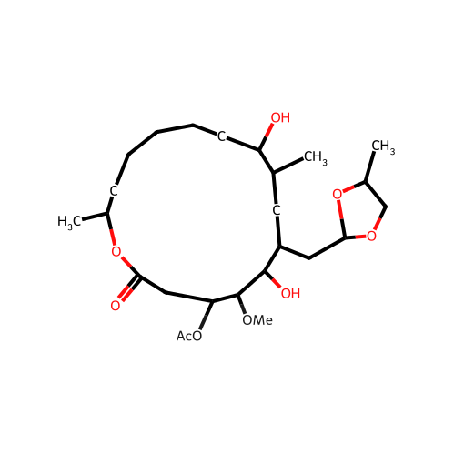 COC1C(OC(C)=O)CC(=O)OC(C)CCCCCC(O)C(C)CC(CC2OCC(C)O2)C1O